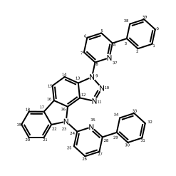 c1ccc(-c2cccc(-n3nnc4c3ccc3c5ccccc5n(-c5cccc(-c6ccccc6)n5)c34)n2)cc1